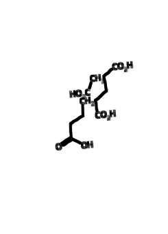 CC(=O)O.CCCC(=O)O.O=C(O)CCCC(=O)O